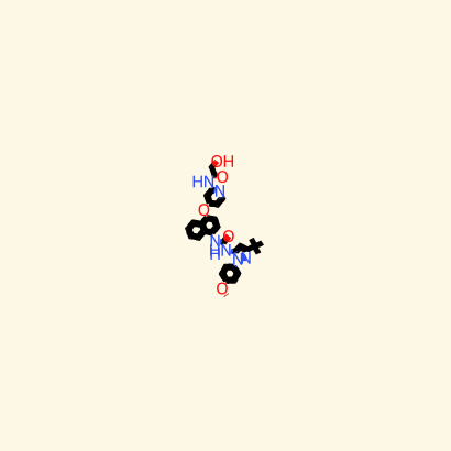 COc1ccc(-n2nc(C(C)(C)C)cc2NC(=O)Nc2ccc(Oc3ccnc(NC(=O)CO)c3)c3ccccc23)cc1